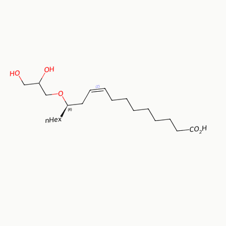 CCCCCC[C@H](C/C=C\CCCCCCCC(=O)O)OCC(O)CO